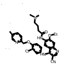 CCOc1cc2ncc(C#N)c(Nc3ccc(OCc4ccc(C)cn4)c(Cl)c3)c2cc1NC(=O)CCCN(C)C